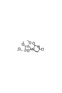 COC[C@H]1O[C@@H](n2ccc(Cl)nc2=O)[C@@H](OC)C1OC